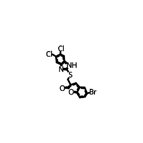 O=c1oc2ccc(Br)cc2cc1CSc1nc2cc(Cl)c(Cl)cc2[nH]1